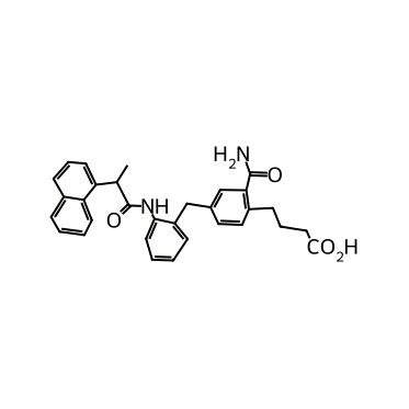 CC(C(=O)Nc1ccccc1Cc1ccc(CCCC(=O)O)c(C(N)=O)c1)c1cccc2ccccc12